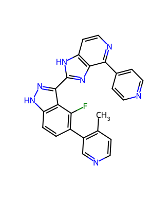 Cc1ccncc1-c1ccc2[nH]nc(-c3nc4c(-c5ccncc5)nccc4[nH]3)c2c1F